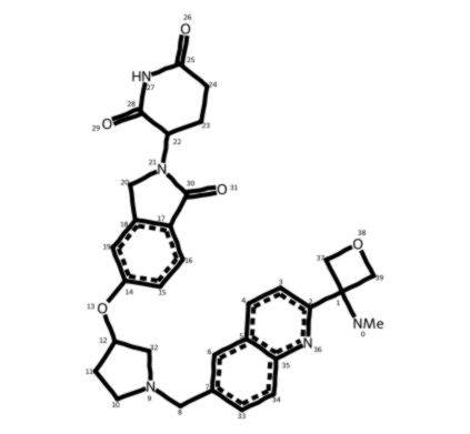 CNC1(c2ccc3cc(CN4CCC(Oc5ccc6c(c5)CN(C5CCC(=O)NC5=O)C6=O)C4)ccc3n2)COC1